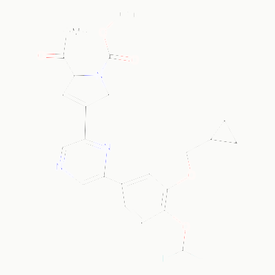 COC(=O)C1C=C(c2cncc(-c3ccc(OC(F)F)c(OCC4CC4)c3)n2)CN1C(=O)OC(C)(C)C